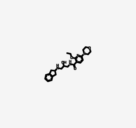 CCOc1nc(N2CCOCC2)ccc1C(=O)NCC(O)CNC1Cc2ccccc2C1